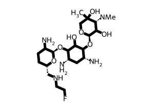 CN[C@@H]1C(O)[C@@H](OC2C(O)C(O[C@H]3O[C@H](CNCCF)CCC3N)[C@@H](N)C[C@H]2N)OCC1(C)O